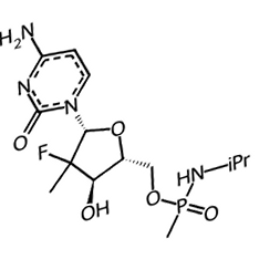 CC(C)NP(C)(=O)OC[C@H]1O[C@@H](n2ccc(N)nc2=O)C(C)(F)[C@@H]1O